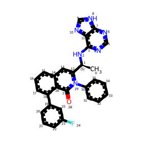 C[C@H](Nc1ncnc2[nH]cnc12)c1cc2cccc(-c3cccc(F)c3)c2c(=O)n1-c1ccccc1